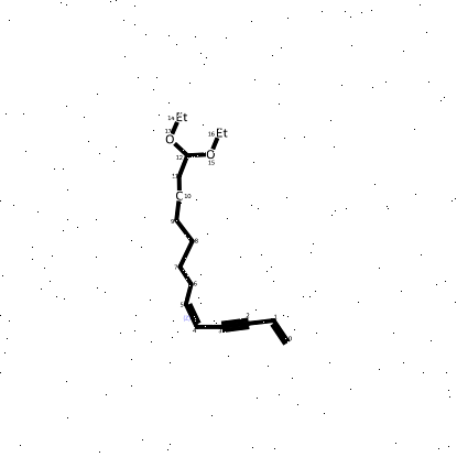 C=CC#C/C=C\CCCCCCC(OCC)OCC